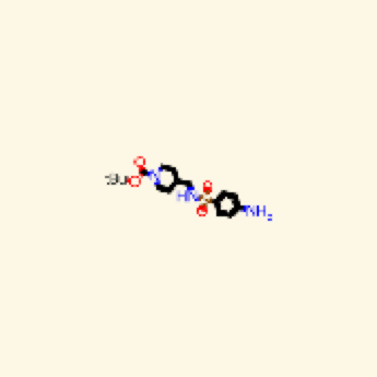 CC(C)(C)OC(=O)N1CCC(CNS(=O)(=O)c2ccc(N)cc2)CC1